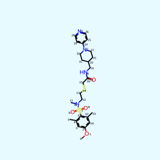 COc1cc(C)c(S(=O)(=O)N(C)CCSCC(=O)NCC2CCN(c3ccncc3)CC2)c(C)c1